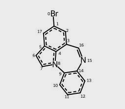 Brc1cc2c3c(ccn3-c3ccccc3N=C2)c1